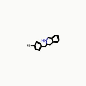 CCc1ccc(CC2Cc3ccccc3CN2)cc1